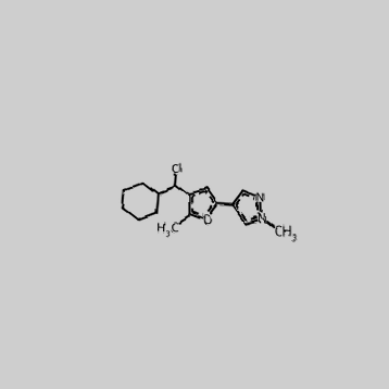 Cc1oc(-c2cnn(C)c2)cc1C(Cl)C1CCCCC1